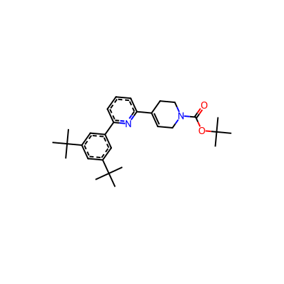 CC(C)(C)OC(=O)N1CC=C(c2cccc(-c3cc(C(C)(C)C)cc(C(C)(C)C)c3)n2)CC1